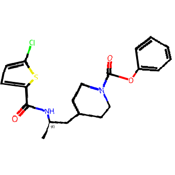 C[C@H](CC1CCN(C(=O)Oc2ccccc2)CC1)NC(=O)c1ccc(Cl)s1